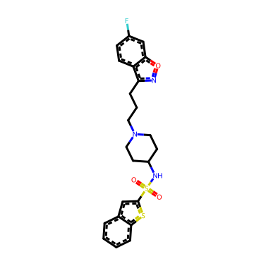 O=S(=O)(NC1CCN(CCCc2noc3cc(F)ccc23)CC1)c1cc2ccccc2s1